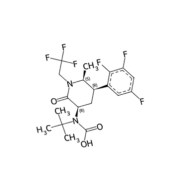 C[C@H]1[C@@H](c2cc(F)cc(F)c2F)C[C@@H](N(C(=O)O)C(C)(C)C)C(=O)N1CC(F)(F)F